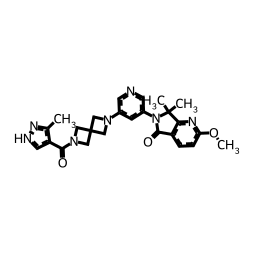 COc1ccc2c(n1)C(C)(C)N(c1cncc(N3CC4(CN(C(=O)c5c[nH]nc5C)C4)C3)c1)C2=O